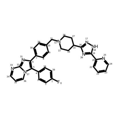 Fc1ccc(-c2c(-c3ccc(CN4CCC(c5n[nH]c(-c6ccccn6)n5)CC4)cc3)nc3ncccn23)cc1